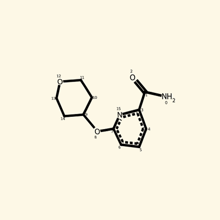 NC(=O)c1cccc(OC2CCOCC2)n1